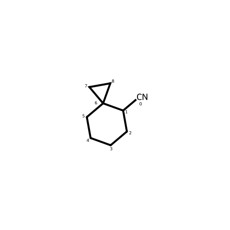 N#CC1CCCCC12CC2